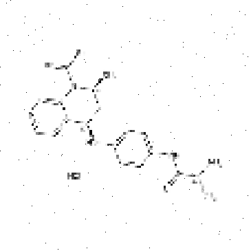 CCC(=O)N1c2ccccc2[C@H](Nc2ccc(NC(=O)[C@@H](C)N)cc2)C[C@@H]1C.Cl